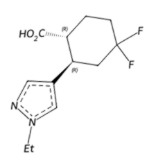 CCn1cc([C@@H]2CC(F)(F)CC[C@H]2C(=O)O)cn1